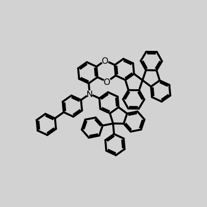 c1ccc(-c2ccc(N(c3ccc4c(c3)C(c3ccccc3)(c3ccccc3)c3ccccc3-4)c3cccc4c3Oc3c(ccc5c3-c3ccccc3C53c5ccccc5-c5ccccc53)O4)cc2)cc1